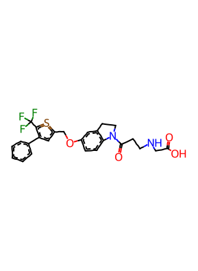 O=C(O)CNCCC(=O)N1CCc2cc(OCc3cc(-c4ccccc4)c(C(F)(F)F)s3)ccc21